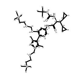 Cc1nn(COCC[Si](C)(C)C)c(C)c1-c1ncc(NC(=O)[C@@H](NC(=O)OC(C)(C)C)C(C2CC2)C2CC2)cc1OCOCC[Si](C)(C)C